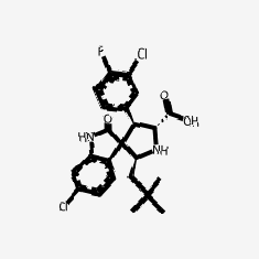 CC(C)(C)C[C@@H]1N[C@@H](C(=O)O)[C@H](c2ccc(F)c(Cl)c2)C12C(=O)Nc1cc(Cl)ccc12